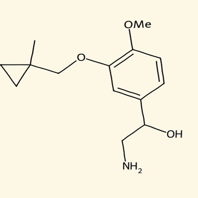 COc1ccc(C(O)CN)cc1OCC1(C)CC1